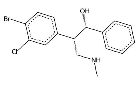 CNC[C@H](c1ccc(Br)c(Cl)c1)[C@H](O)c1ccccc1